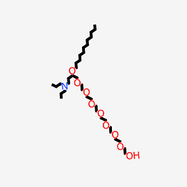 CCCCCCCCCCCCOC(CCN(CCC)CCC)COCCOCCOCCOCCOCCOCCOCCO